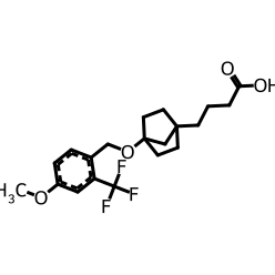 COc1ccc(COC23CCC(CCCC(=O)O)(CC2)C3)c(C(F)(F)F)c1